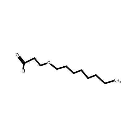 CCCCCCCCOCCC(=O)Cl